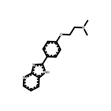 CN(C)CCOc1ccc(-c2nc3ncccc3[nH]2)cc1